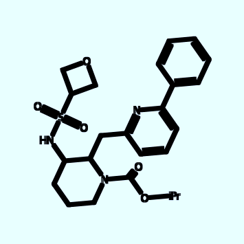 CC(C)OC(=O)N1CCCC(NS(=O)(=O)C2COC2)C1Cc1cccc(-c2ccccc2)n1